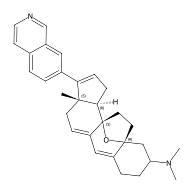 CN(C)C1CCC2=CC3=CC[C@]4(C)C(c5ccc6ccncc6c5)=CC[C@H]4[C@@]34CC[C@]2(C1)O4